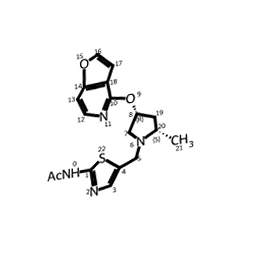 CC(=O)Nc1ncc(CN2C[C@H](Oc3nccc4occc34)C[C@@H]2C)s1